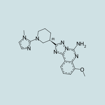 COc1cccc2c1nc(N)n1nc([C@@H]3CCCN(c4nccn4C)C3)nc21